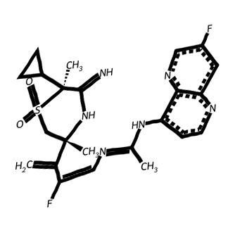 C=C(/C(F)=C\N=C(/C)Nc1ccnc2cc(F)cnc12)[C@]1(C)CS(=O)(=O)[C@@](C)(C2CC2)C(=N)N1